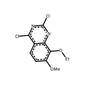 CCOc1c(OC)ccc2c(Cl)nc(Cl)nc12